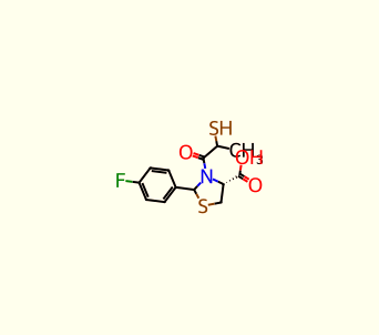 CC(S)C(=O)N1C(c2ccc(F)cc2)SC[C@H]1C(=O)O